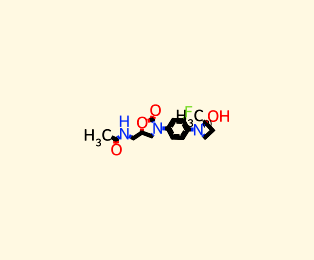 CC(=O)NCC1CN(c2ccc(N3CC[C@@]3(C)O)c(F)c2)C(=O)O1